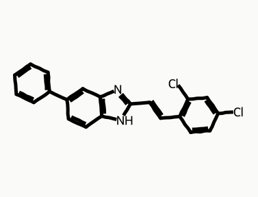 Clc1ccc(C=Cc2nc3cc(-c4ccccc4)ccc3[nH]2)c(Cl)c1